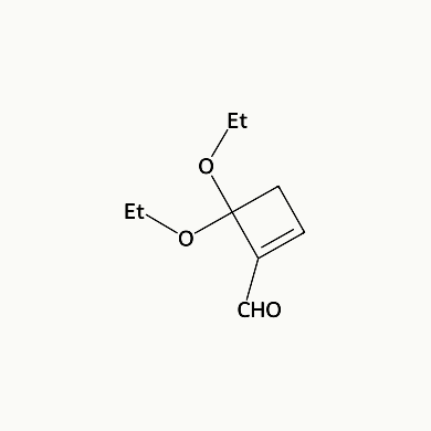 CCOC1(OCC)CC=C1C=O